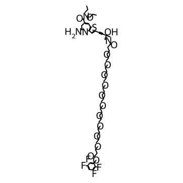 CCCN(OCC)C(=O)C1=Cc2sc(C#CC3(O)CN(C(=O)CCOCCOCCOCCOCCOCCOCCOCCOCCOCCOCCC(=O)Oc4c(F)c(F)cc(F)c4F)C3)cc2N=C(N)C1